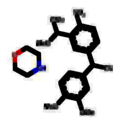 C1COCCN1.COc1ccc(C(C#N)c2ccc([N+](=O)[O-])c(C(OC)OC)c2)cc1OC